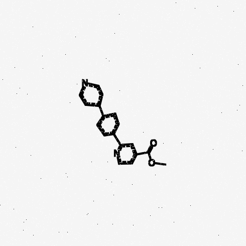 COC(=O)c1ccnc(-c2ccc(-c3ccncc3)cc2)c1